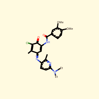 CCN(CC)c1ccc(/N=C2\C=C(NC(=O)c3ccc(OC)c(OC)c3)C(=O)C(Cl)=C2C)c(C)n1